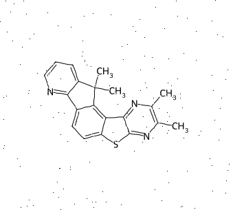 Cc1nc2sc3ccc4c(c3c2nc1C)C(C)(C)c1cccnc1-4